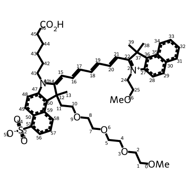 COCCOCCOCCOCCC1(C)\C(=C/C=C/C=C/C=C/C2=[N+](CCOC)c3ccc4ccccc4c3C2(C)C)N(CCCCCC(=O)O)c2ccc3c(S(=O)(=O)[O-])cccc3c21